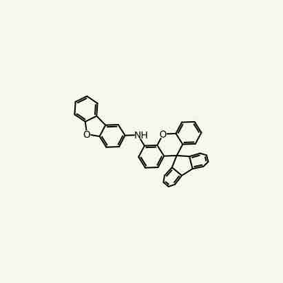 c1ccc2c(c1)Oc1c(Nc3ccc4oc5ccccc5c4c3)cccc1C21c2ccccc2-c2ccccc21